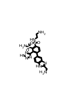 NCCNS(=O)(=O)c1ccc(-c2ccc3[nH]c(CN)nc3c2)c(-c2nn[nH]n2)c1S(N)(=O)=O